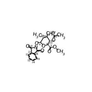 COC(=O)[C@H]1O[C@@H](ON2C(=O)c3ccccc3C2=O)[C@H](C)[C@@H](C)[C@@H]1OC(C)=O